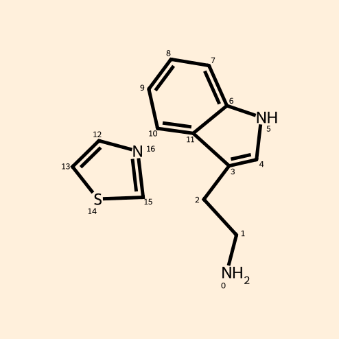 NCCc1c[nH]c2ccccc12.c1cscn1